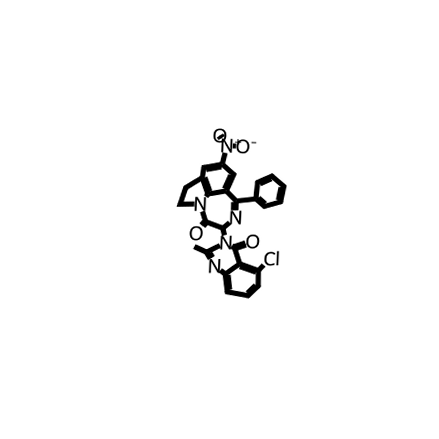 Cc1nc2cccc(Cl)c2c(=O)n1C1N=C(c2ccccc2)c2cc([N+](=O)[O-])cc3c2N(CC3)C1=O